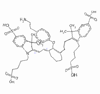 CC1(C)C(CCC2=C(Oc3ccc(CCN)cc3)/C(=C/C=C3/N(CCCCS(=O)(=O)O)c4ccc(S(=O)(=O)O)cc4C3(C)C)CCC2)=[N+](CCCCS(=O)(=O)O)c2ccc(S(=O)(=O)O)cc21